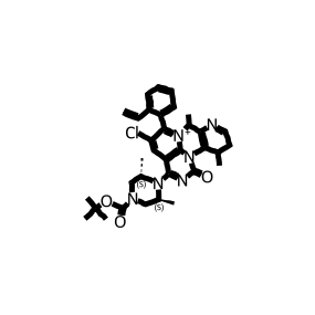 C=Cc1ccccc1-c1c(Cl)cc2c(N3[C@@H](C)CN(C(=O)OC(C)(C)C)C[C@@H]3C)nc(=O)n3c2[n+]1C(C)C1=C3C(C)CC=N1